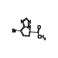 CC(=O)c1ccc(Br)c2ncnn12